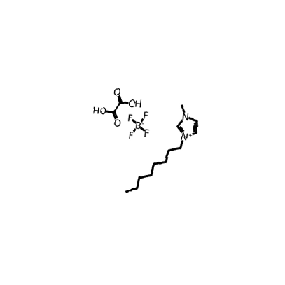 CCCCCCCC[n+]1ccn(C)c1.F[B-](F)(F)F.O=C(O)C(=O)O